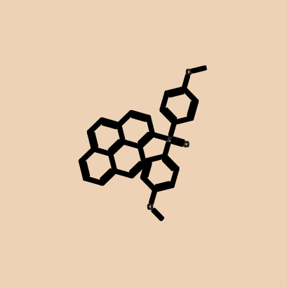 COc1ccc(P(=O)(c2ccc(OC)cc2)c2ccc3ccc4cccc5ccc2c3c45)cc1